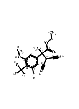 CCOC(=O)C(C)(c1cc(F)c(C(F)(F)F)c(OC)c1)C(C#N)C#N